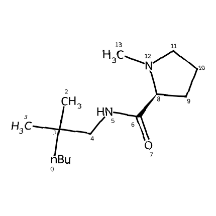 CCCCC(C)(C)CNC(=O)[C@@H]1CCCN1C